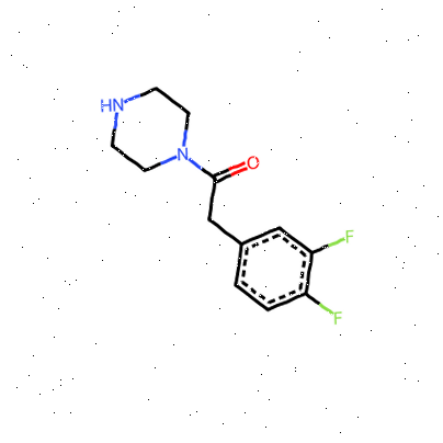 O=C(Cc1ccc(F)c(F)c1)N1CCNCC1